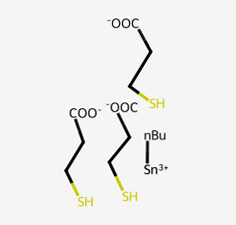 CCC[CH2][Sn+3].O=C([O-])CCS.O=C([O-])CCS.O=C([O-])CCS